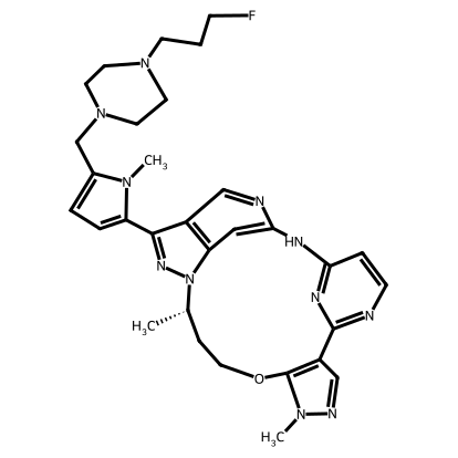 C[C@H]1CCOc2c(cnn2C)-c2nccc(n2)Nc2cc3c(cn2)c(-c2ccc(CN4CCN(CCCF)CC4)n2C)nn31